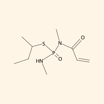 C=CC(=O)N(C)P(=O)(NC)SC(C)CC